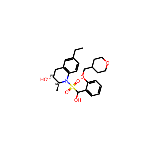 CCc1ccc2c(c1)C[C@@H](O)[C@H](C)N2S(=O)(=O)C(O)c1ccccc1OCC1CCOCC1